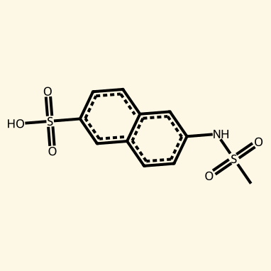 CS(=O)(=O)Nc1ccc2cc(S(=O)(=O)O)ccc2c1